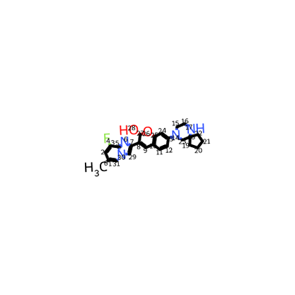 Cc1cc(F)c2nc(C3=Cc4ccc(N5CCNC6(CCCC6)C5)cc4OC3O)cn2c1